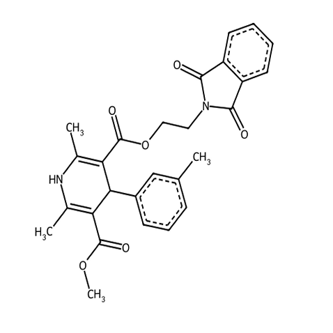 COC(=O)C1=C(C)NC(C)=C(C(=O)OCCN2C(=O)c3ccccc3C2=O)C1c1cccc(C)c1